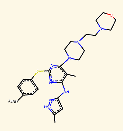 CC(=O)Nc1ccc(Sc2nc(Nc3cc(C)[nH]n3)c(C)c(N3CCN(CCN4CCOCC4)CC3)n2)cc1